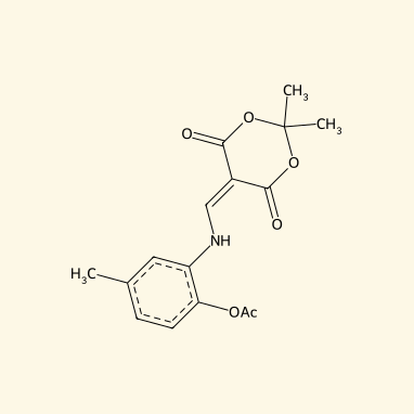 CC(=O)Oc1ccc(C)cc1NC=C1C(=O)OC(C)(C)OC1=O